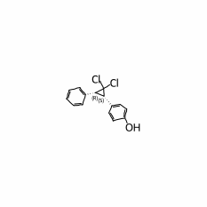 Oc1ccc([C@@H]2[C@H](c3ccccc3)C2(Cl)Cl)cc1